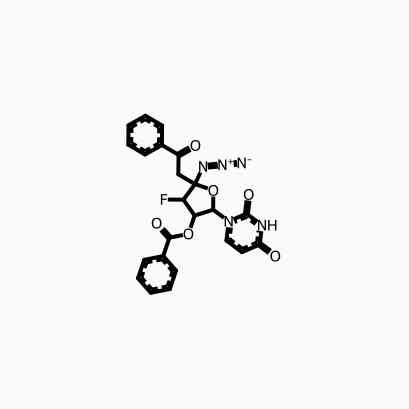 [N-]=[N+]=NC1(CC(=O)c2ccccc2)OC(n2ccc(=O)[nH]c2=O)C(OC(=O)c2ccccc2)C1F